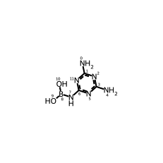 Nc1nc(N)nc(NB(O)O)n1